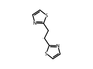 [CH](Cc1nccs1)c1nccs1